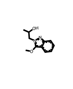 COc1c2ccccc2nn1CC(C)O